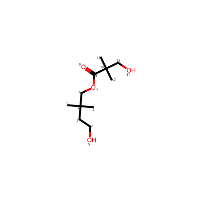 CC(C)(CCO)COC(=O)C(C)(C)CO